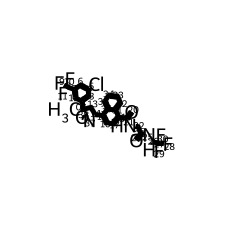 CC1(c2cc(Cl)cc(C(F)(F)F)c2)CC(c2ccc(C(=O)NCC(=O)NCC(F)(F)F)c3ccccc23)=NO1